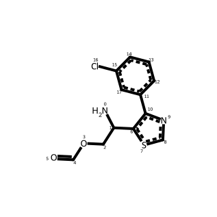 NC(COC=O)c1scnc1-c1cccc(Cl)c1